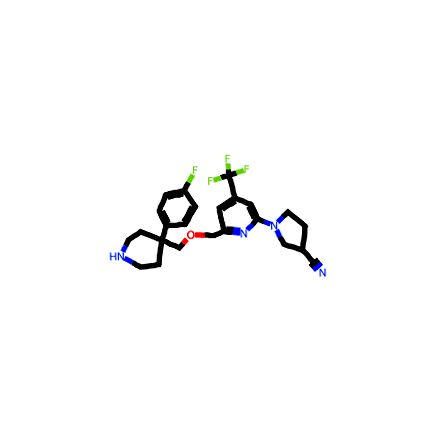 N#CC1CCN(c2cc(C(F)(F)F)cc(COCC3(c4ccc(F)cc4)CCNCC3)n2)C1